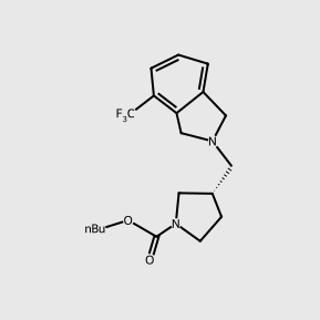 CCCCOC(=O)N1CC[C@@H](CN2Cc3cccc(C(F)(F)F)c3C2)C1